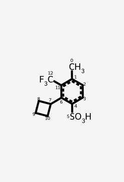 Cc1ccc(S(=O)(=O)O)c(C2CCC2)c1C(F)(F)F